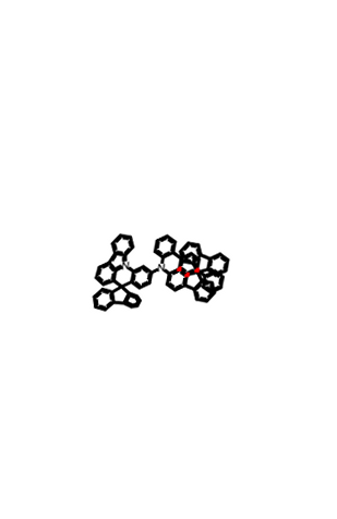 c1ccc(-c2ccc(-c3ccccc3N(c3ccc4c(c3)-n3c5ccccc5c5cccc(c53)C43c4ccccc4-c4ccccc43)c3ccc4c(c3)C3(c5ccccc5-c5ccccc53)c3ccccc3-4)cc2)cc1